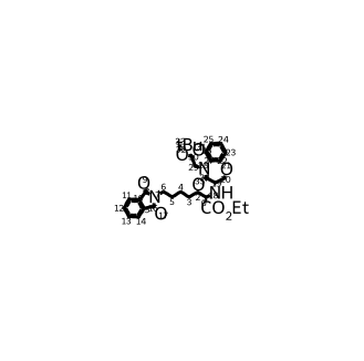 CCOC(=O)[C@H](CCCCCN1C(=O)c2ccccc2C1=O)N[C@H]1COc2ccccc2N(CC(=O)OC(C)(C)C)C1=O